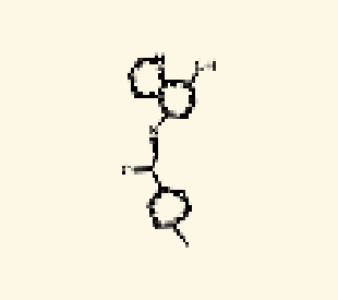 Cc1ccc(C(=O)C=Nc2ccc(O)c3ncccc23)cc1